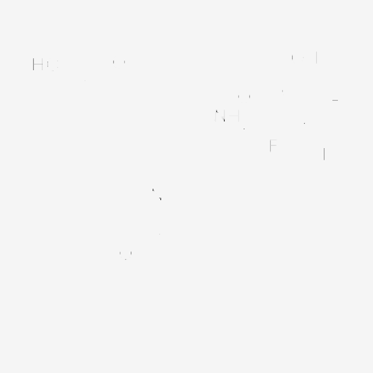 NCCN(CCCC(=O)O)C(=O)C1=CC=CC=CC=C1.O=C(O)C(F)(F)F